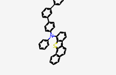 c1ccc(-c2cccc(-c3ccc(N(c4ccccc4)c4cccc5c4sc4c6ccccc6ccc54)cc3)c2)cc1